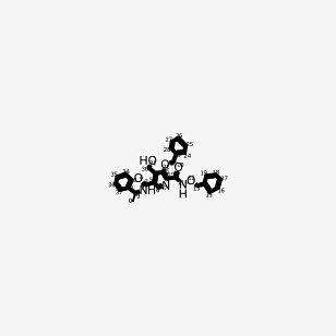 C[C@H](NC(=O)c1cnc(C(=O)NOCc2ccccc2)c(OCc2ccccc2)c1CO)c1ccccc1